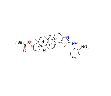 CCCCC(=O)O[C@H]1CC[C@H]2[C@@H]3CC=C4c5sc(Nc6ccccc6[N+](=O)[O-])nc5CC[C@]4(C)[C@H]3CC[C@]12C